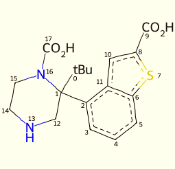 CC(C)(C)C1(c2cccc3sc(C(=O)O)cc23)CNCCN1C(=O)O